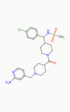 CS(=O)(=O)NC(c1ccc(Cl)cc1)C1CCN(C(=O)C2CCN(Cc3ccnc(N)c3)CC2)CC1